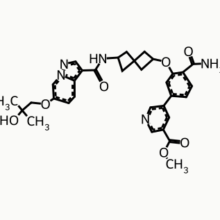 COC(=O)c1cncc(-c2ccc(C(N)=O)c(OC3CC4(CC(NC(=O)c5cnn6cc(OCC(C)(C)O)ccc56)C4)C3)c2)c1